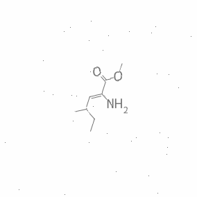 CCC(C)/C=C(\N)C(=O)OC